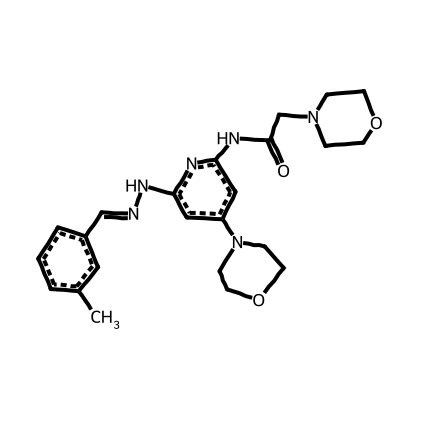 Cc1cccc(C=NNc2cc(N3CCOCC3)cc(NC(=O)CN3CCOCC3)n2)c1